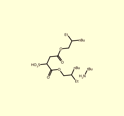 CC(C)(C)N.CCCCC(CC)COC(=O)CC(C(=O)OCC(CC)CCCC)S(=O)(=O)O